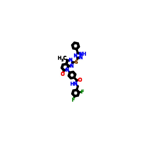 Cc1nc(Sc2n[nH]c(-c3ccccc3)n2)nc2c1ccc(=O)n2-c1ccc(C(=O)NCc2ccc(F)cc2F)cc1